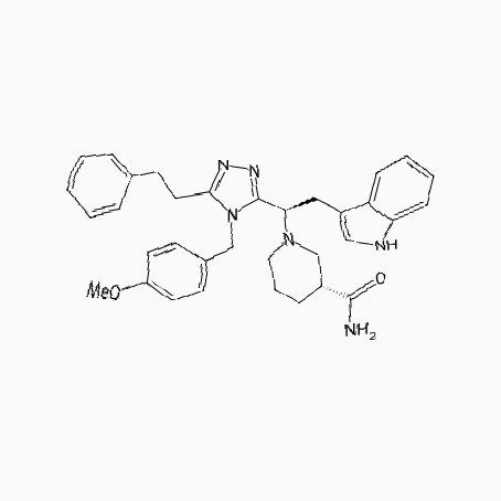 COc1ccc(Cn2c(CCc3ccccc3)nnc2[C@@H](Cc2c[nH]c3ccccc23)N2CCC[C@@H](C(N)=O)C2)cc1